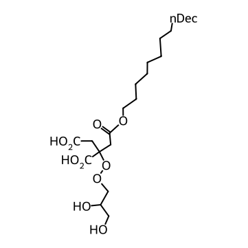 CCCCCCCCCCCCCCCCCCOC(=O)CC(CC(=O)O)(OOCC(O)CO)C(=O)O